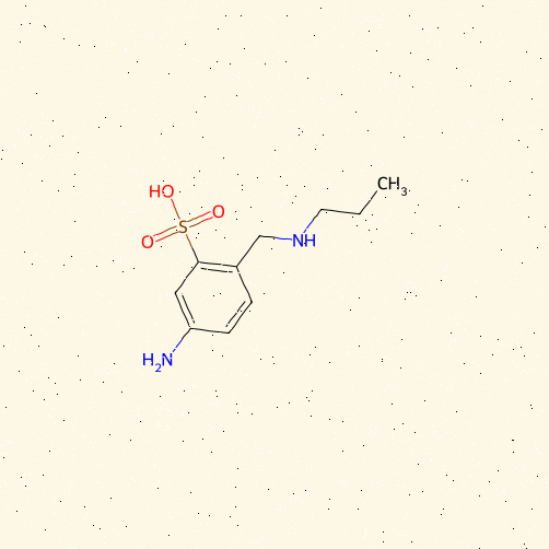 CCCNCc1ccc(N)cc1S(=O)(=O)O